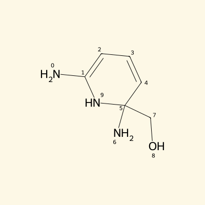 NC1=CC=CC(N)(CO)N1